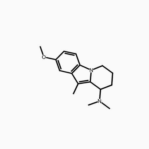 COc1ccc2c(c1)c(C)c1n2CCCC1N(C)C